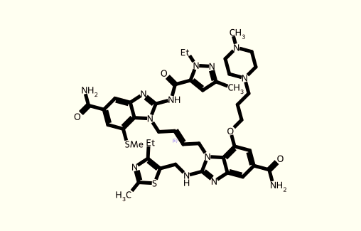 CCc1nc(C)sc1CNc1nc2cc(C(N)=O)cc(OCCCN3CCN(C)CC3)c2n1C/C=C/Cn1c(NC(=O)c2cc(C)nn2CC)nc2cc(C(N)=O)cc(SC)c21